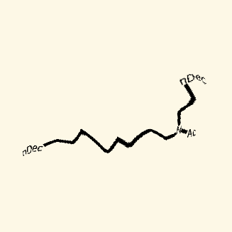 CCCCCCCCCCCCCCCCCCN(CCCCCCCCCCCC)C(C)=O